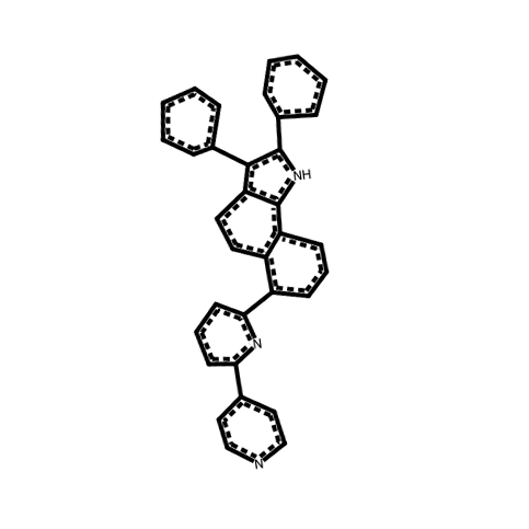 c1ccc(-c2[nH]c3c(ccc4c(-c5cccc(-c6ccncc6)n5)cccc43)c2-c2ccccc2)cc1